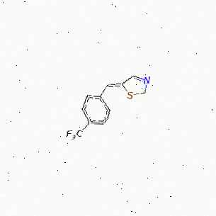 FC(F)(F)c1ccc(C=C2C=NCS2)cc1